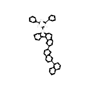 c1ccc(C2=NC(c3ccccc3)NC(n3c4ccccc4c4c5cc(-c6ccc7ccc(-c8cccc9ccccc89)cc7c6)ccc5ccc43)=N2)cc1